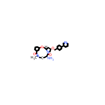 CN1CCC[C@H](N)C(=O)N2C[C@@H](OCc3ccc(-c4cccnc4)cc3)C[C@H]2COc2cccc(c2)C1=O